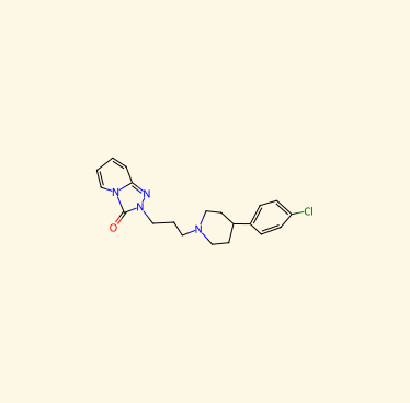 O=c1n(CCCN2CCC(c3ccc(Cl)cc3)CC2)nc2ccccn12